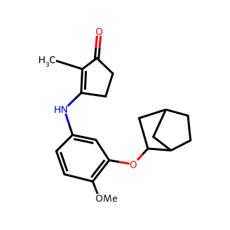 COc1ccc(NC2=C(C)C(=O)CC2)cc1OC1CC2CCC1C2